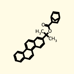 CC(C)(OC(=O)C1CC2C=CC1C2)c1ccc2c(ccc3c4ccccc4ccc23)c1